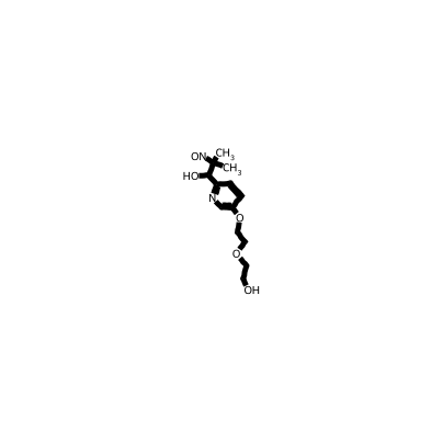 CC(C)(N=O)C(O)c1ccc(OCCOCCO)cn1